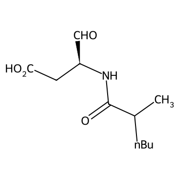 CCCCC(C)C(=O)N[C@H](C=O)CC(=O)O